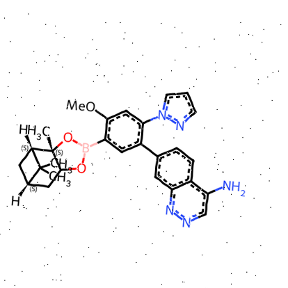 COc1cc(-n2cccn2)c(-c2ccc3c(N)cnnc3c2)cc1B1OC2C[C@@H]3C[C@@H](C3(C)C)[C@]2(C)O1